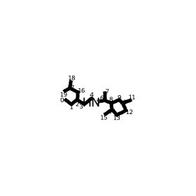 CCC(CCNC(C)C1CC(C)CCC1C)CC(C)C